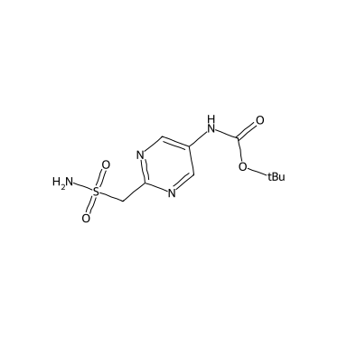 CC(C)(C)OC(=O)Nc1cnc(CS(N)(=O)=O)nc1